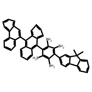 Bc1c(B)c(-c2c3ccccc3c(-c3cc4ccccc4c4ccccc34)c3ccccc23)c(B)c(B)c1-c1ccc2c(c1)C(C)(C)c1ccccc1-2